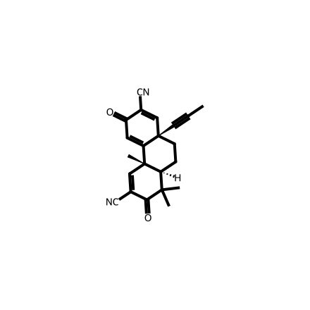 CC#C[C@]12C=C(C#N)C(=O)C=C1[C@@]1(C)C=C(C#N)C(=O)C(C)(C)[C@@H]1CC2